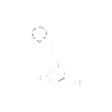 NCC(CCCc1ccccc1)CC(O)=S